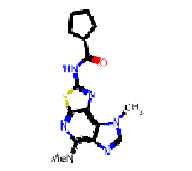 CNc1nc2sc(NC(=O)C3CCCC3)nc2c2c1ncn2C